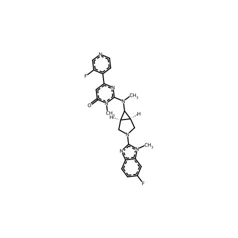 CN(c1nc(-c2ccncc2F)cc(=O)n1C)C1[C@H]2CN(c3nc4ccc(F)cc4n3C)C[C@@H]12